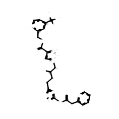 O=C(Cc1ccccn1)Nc1nnc(CCC(F)Cn2cc(C(=O)NCc3cc(C(F)(F)F)ccn3)nn2)s1